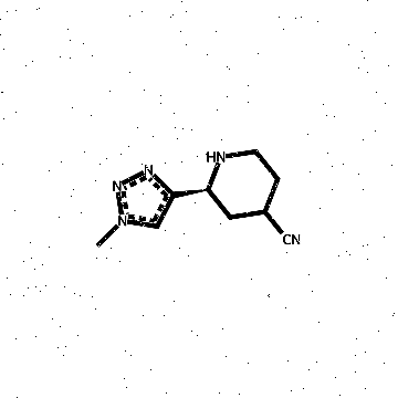 Cn1cc([C@@H]2CC(C#N)CCN2)nn1